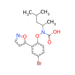 CC(C)CC(C)N(Oc1ccc(Br)cc1-c1ccno1)C(=O)O